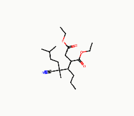 CCCC(C(CC(=O)OCC)C(=O)OCC)C(C)(C#N)CCC(C)C